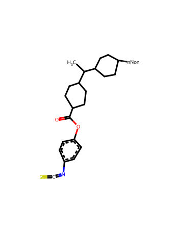 CCCCCCCCCC1CCC(C(C)C2CCC(C(=O)Oc3ccc(N=C=S)cc3)CC2)CC1